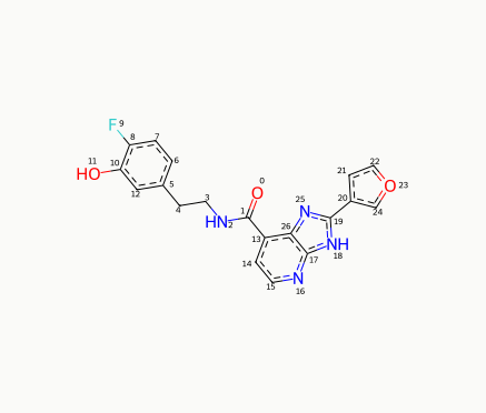 O=C(NCCc1ccc(F)c(O)c1)c1ccnc2[nH]c(-c3ccoc3)nc12